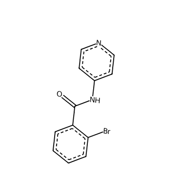 O=C(Nc1ccncc1)c1ccccc1Br